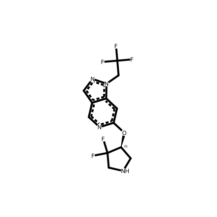 FC(F)(F)Cn1ncc2cnc(O[C@H]3CNCC3(F)F)cc21